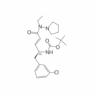 CCN(C(=O)C=C[C@H](Cc1cccc(Cl)c1)NC(=O)OC(C)(C)C)N1CCCC1